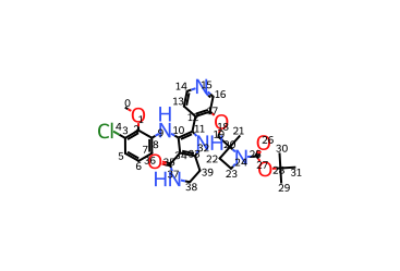 COc1c(Cl)cccc1Nc1c(-c2ccncc2OCC2(C)CCN2C(=O)OC(C)(C)C)[nH]c2c1C(=O)NCC2